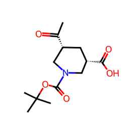 CC(=O)[C@@H]1C[C@H](C(=O)O)CN(C(=O)OC(C)(C)C)C1